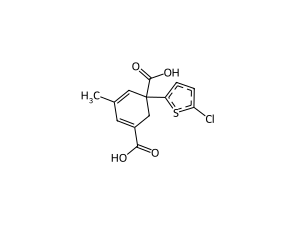 CC1=CC(C(=O)O)(c2ccc(Cl)s2)CC(C(=O)O)=C1